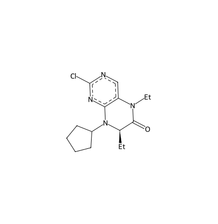 CC[C@@H]1C(=O)N(CC)c2cnc(Cl)nc2N1C1CCCC1